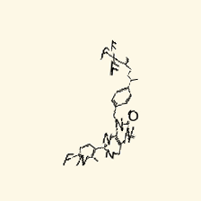 Cc1nc(F)ccc1-c1ncc2c(n1)n(Cc1ccc(C(C)CCC(C)C(F)(F)F)cc1)c(=O)n2C